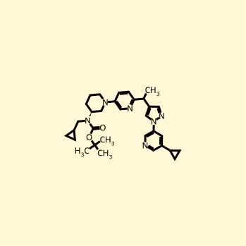 CC(c1cnn(-c2cncc(C3CC3)c2)c1)c1ccc(N2CCC[C@@H](N(CC3CC3)C(=O)OC(C)(C)C)C2)cn1